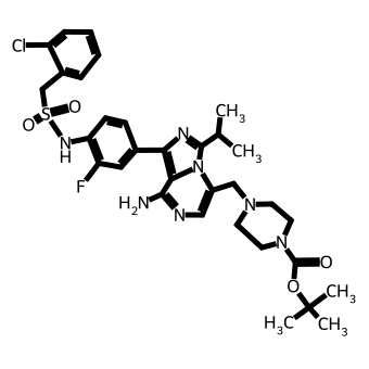 CC(C)c1nc(-c2ccc(NS(=O)(=O)Cc3ccccc3Cl)c(F)c2)c2c(N)ncc(CN3CCN(C(=O)OC(C)(C)C)CC3)n12